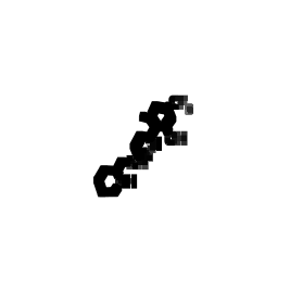 Cc1cc(C(F)(F)F)cc(O)c1-c1ccc(NCC2CCCCN2)nn1